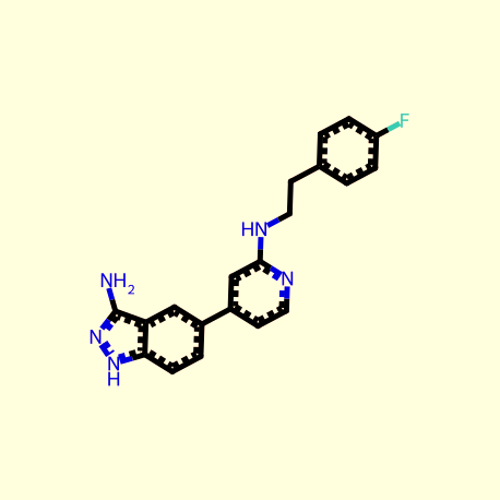 Nc1n[nH]c2ccc(-c3ccnc(NCCc4ccc(F)cc4)c3)cc12